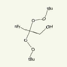 CCCC(CO)(OOC(C)(C)C)OOC(C)(C)C